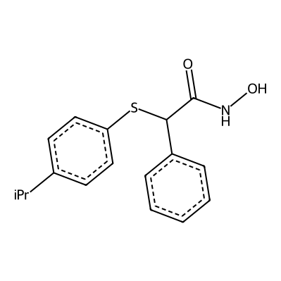 CC(C)c1ccc(SC(C(=O)NO)c2ccccc2)cc1